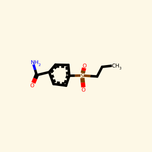 CCCS(=O)(=O)c1ccc(C(N)=O)cc1